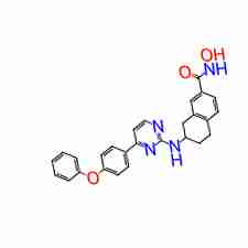 O=C(NO)c1ccc2c(c1)CC(Nc1nccc(-c3ccc(Oc4ccccc4)cc3)n1)CC2